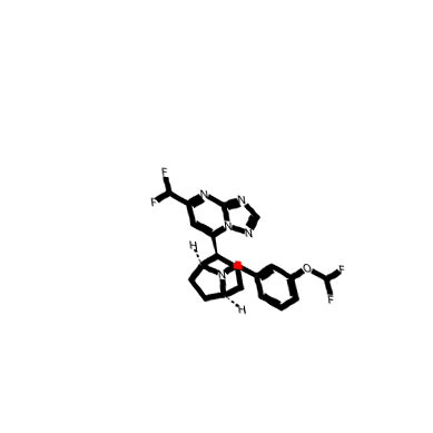 FC(F)Oc1cccc(CN2[C@H]3CC[C@H](c4cc(C(F)F)nc5ncnn45)[C@@H]2CC3)c1